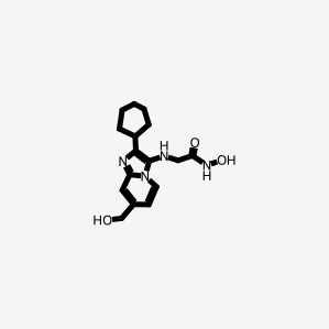 O=C(CNc1c(C2CCCCC2)nc2cc(CO)ccn12)NO